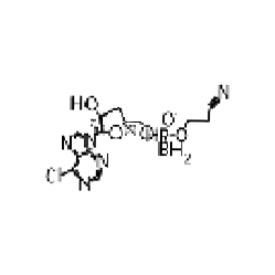 B[PH](OC)(OCCC#N)OC[C@@H]1C[C@H](O)[C@H](n2cnc3c(Cl)ncnc32)O1